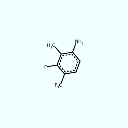 Cc1c(N)ccc(C(F)(F)F)c1F